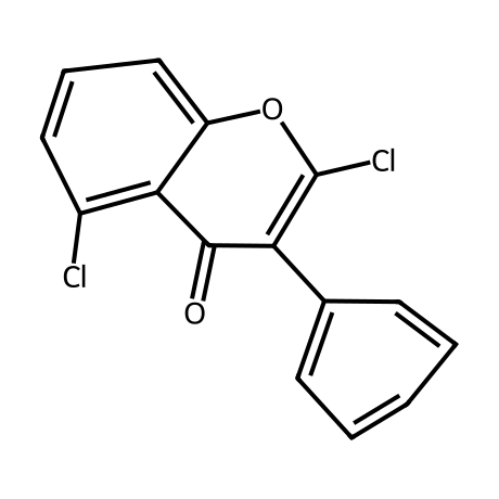 O=c1c(-c2ccccc2)c(Cl)oc2cccc(Cl)c12